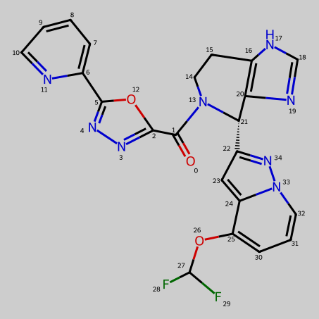 O=C(c1nnc(-c2ccccn2)o1)N1CCc2[nH]cnc2[C@@H]1c1cc2c(OC(F)F)cccn2n1